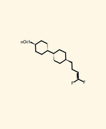 CCCCCCCC[C@H]1CC[C@H]([C@H]2CC[C@H](CCC=C(F)F)CC2)CC1